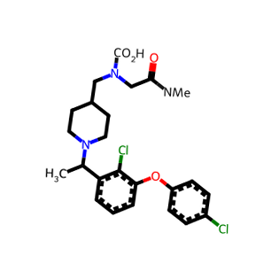 CNC(=O)CN(CC1CCN(C(C)c2cccc(Oc3ccc(Cl)cc3)c2Cl)CC1)C(=O)O